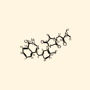 CC1C(=O)N(c2cc(Cc3n[nH]c(=O)c4ccccc34)ccc2F)C(=O)N1CC(=O)N(C)C